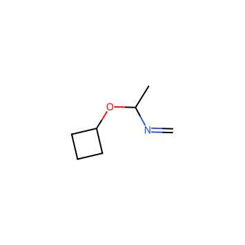 C=NC(C)OC1CCC1